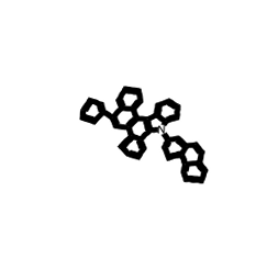 c1ccc(-c2cc3c4ccccc4c4c(c5ccccc5n4-c4ccc5c(ccc6ccccc65)c4)c3c3ccccc23)cc1